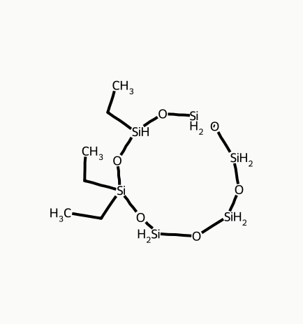 CC[SiH]1O[SiH2]O[SiH2]O[SiH2]O[SiH2]O[Si](CC)(CC)O1